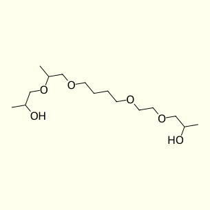 CC(O)COCCOCCCCOCC(C)OCC(C)O